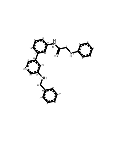 O=C(CNc1ccccc1)Nc1cccc(-c2cncc(NCc3ccccc3)c2)c1